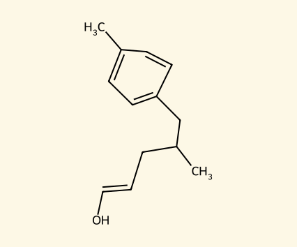 Cc1ccc(CC(C)CC=CO)cc1